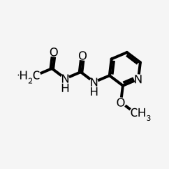 [CH2]C(=O)NC(=O)Nc1cccnc1OC